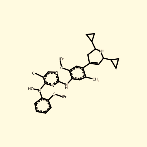 Cc1cc(Nc2ncc(Cl)c(N(O)c3ccccc3SC(C)C)n2)c(OC(C)C)cc1C1=CC(C2CC2)NC(C2CC2)C1